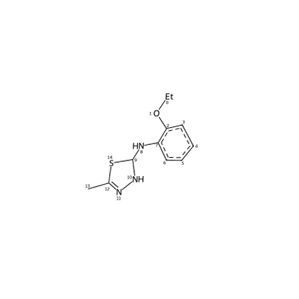 CCOc1ccccc1NC1NN=C(C)S1